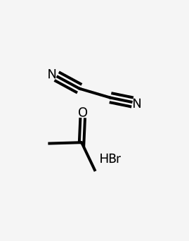 Br.CC(C)=O.N#CC#N